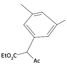 CCOC(=O)C(C(C)=O)c1cc(C)cc(C)c1